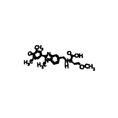 COCC[C@H](NCc1ccc2c(c1)nc(-c1cc(C)c(=O)n(C)c1)n2C)C(=O)O